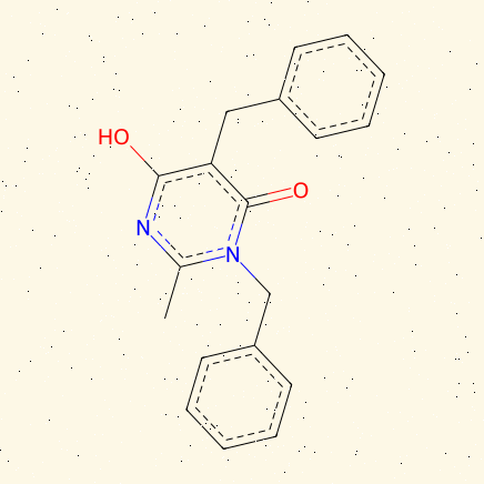 Cc1nc(O)c(Cc2ccccc2)c(=O)n1Cc1ccccc1